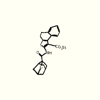 CCOC(=O)c1c(NC(=O)C23CC4CC(CC2C4)C3)sc2c1-c1ccccc1CC2